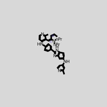 C/C=C\C(=C/c1c(Nc2ccc(-c3nc4cc(Nc5ccnc(C)c5)ccc4[nH]3)cc2)ccnc1C)N(CCC)CCC